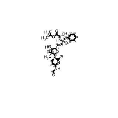 CC(C)OC(=O)[C@H](C)N[P@](=O)(OC[C@H]1O[C@@H](n2ccc(NC=O)nc2=O)[C@](C)(F)[C@@H]1O)Oc1ccccc1